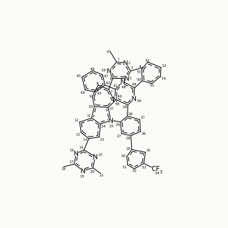 Cc1nc(C)nc(-c2ccc3c4ccc(-c5nc(C)nc(C)n5)cc4n(-c4cc(-c5cccc(C(F)(F)F)c5)ccc4-c4nc(-c5ccccc5)nc(-c5ccccc5)n4)c3c2)n1